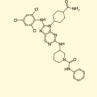 NC(=O)C1CCC(n2c(Nc3c(Cl)cc(Cl)cc3Cl)nc3cnc(NC4CCCN(C(=O)Nc5ccccc5)C4)nc32)CC1